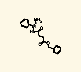 NC[C@H](NC(=O)CCC(=O)OCc1ccccc1)c1ccccc1